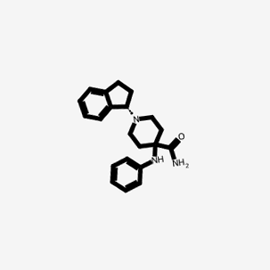 NC(=O)C1(Nc2ccccc2)CCN([C@H]2CCc3ccccc32)CC1